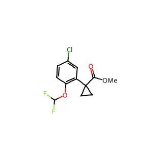 COC(=O)C1(c2cc(Cl)ccc2OC(F)F)CC1